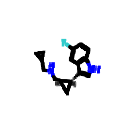 Fc1ccc2[nH]cc([C@@H]3C[C@H]3CNCC3CC3)c2c1